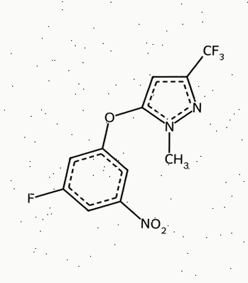 Cn1nc(C(F)(F)F)cc1Oc1cc(F)cc([N+](=O)[O-])c1